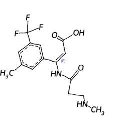 CNCCC(=O)N/C(=C/C(=O)O)c1cc(C)cc(C(F)(F)F)c1